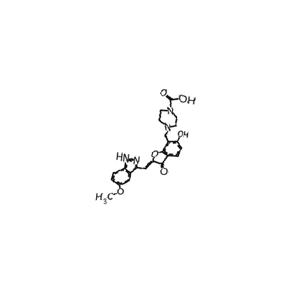 COc1ccc2[nH]nc(C=C3Oc4c(ccc(O)c4CN4CCN(C(=O)O)CC4)C3=O)c2c1